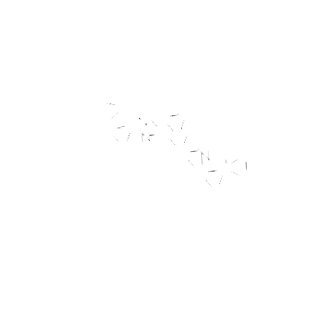 C1=CC2=C(CC1)c1cccc(-c3ncc(-c4cccc5cc(-c6ccc(-c7cccc8c7oc7ccccc78)nc6)ccc45)cn3)c1C2